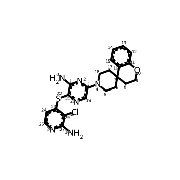 Nc1nc(N2CCC3(CCOc4ccccc43)CC2)cnc1Sc1ccnc(N)c1Cl